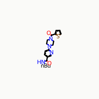 CCCCNC(=O)c1ccc(N2CCN(C(=O)c3cccs3)CC2)nc1